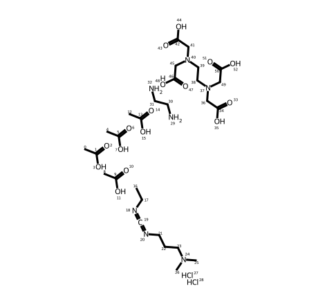 CC(=O)O.CC(=O)O.CC(=O)O.CC(=O)O.CCN=C=NCCCN(C)C.Cl.Cl.NCCN.O=C(O)CN(CCN(CC(=O)O)CC(=O)O)CC(=O)O